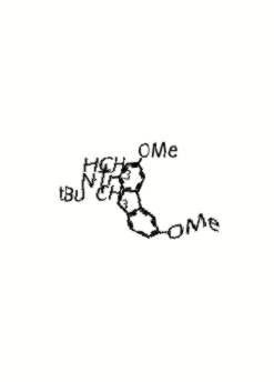 COc1ccc2c(c1)-c1cc(OC)c[c]([Ti]([CH3])([CH3])[NH]C(C)(C)C)c1C2